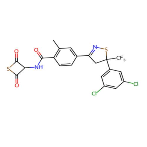 Cc1cc(C2=NSC(c3cc(Cl)cc(Cl)c3)(C(F)(F)F)C2)ccc1C(=O)NC1C(=O)SC1=O